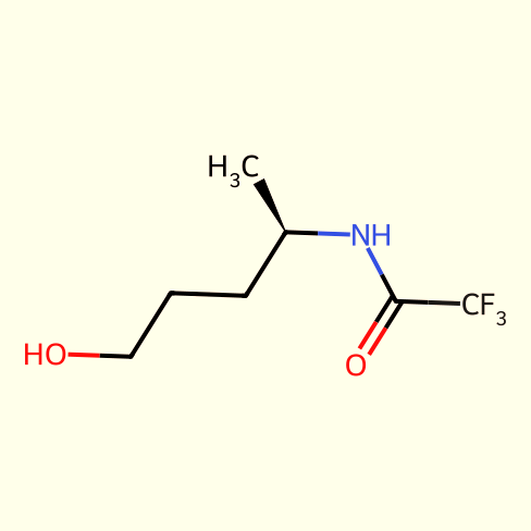 C[C@H](CCCO)NC(=O)C(F)(F)F